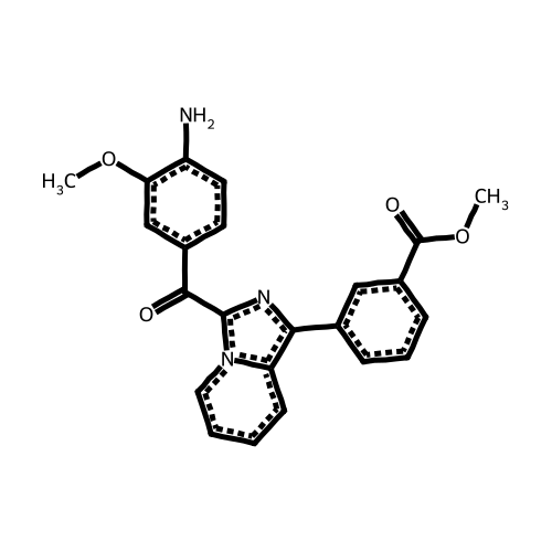 COC(=O)c1cccc(-c2nc(C(=O)c3ccc(N)c(OC)c3)n3ccccc23)c1